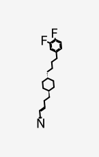 N#CC=CCC[C@H]1CC[C@H](CCCCc2ccc(F)c(F)c2)CC1